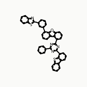 c1ccc(-c2nc(-c3cccc4c3sc3ccccc34)nc(-c3cccc4oc5c(-c6cccc(-c7nc8ccccc8s7)c6)cccc5c34)n2)cc1